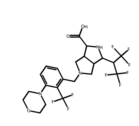 O=C(O)C1NC(C(C(F)(F)F)C(F)(F)F)C2CN(Cc3cccc(N4CCOCC4)c3C(F)(F)F)CC12